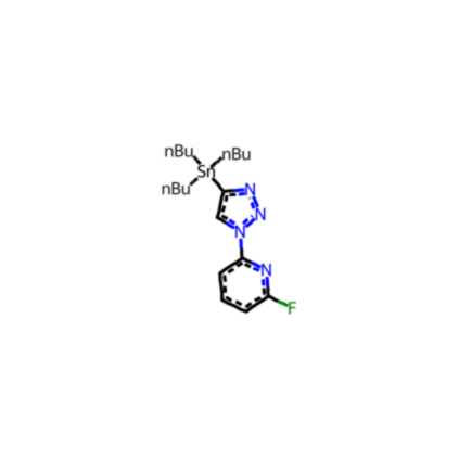 CCC[CH2][Sn]([CH2]CCC)([CH2]CCC)[c]1cn(-c2cccc(F)n2)nn1